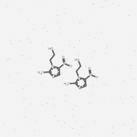 Cc1ncc([N+](=O)[O-])n1CCO.Cc1ncc([N+](=O)[O-])n1CCO